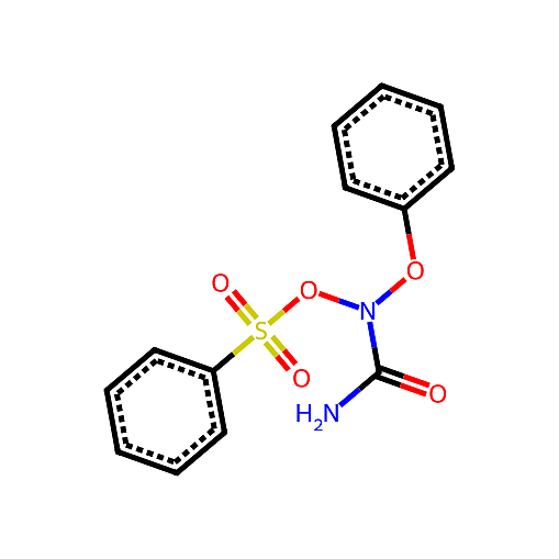 NC(=O)N(Oc1ccccc1)OS(=O)(=O)c1ccccc1